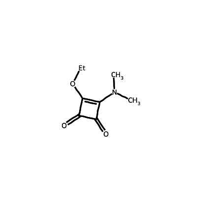 CCOc1c(N(C)C)c(=O)c1=O